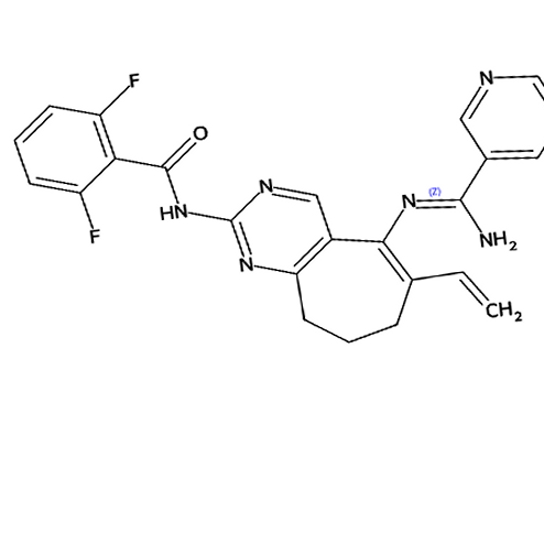 C=CC1=C(/N=C(\N)c2cccnc2)c2cnc(NC(=O)c3c(F)cccc3F)nc2CCC1